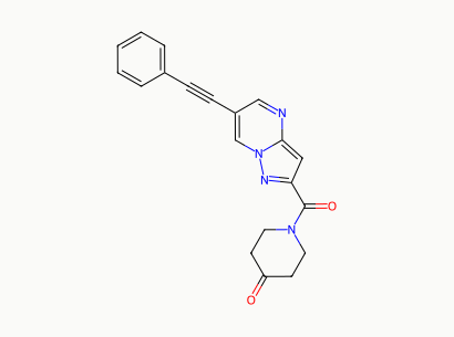 O=C1CCN(C(=O)c2cc3ncc(C#Cc4ccccc4)cn3n2)CC1